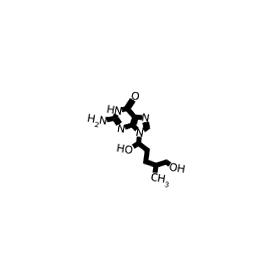 CC(CO)CCC(O)n1cnc2c(=O)[nH]c(N)nc21